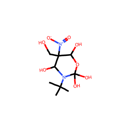 CC(C)(C)N1C(O)C(CO)([N+](=O)[O-])C(O)OC1(O)O